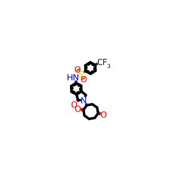 O=C1CCCC(=O)C(N2Cc3cc(NS(=O)(=O)c4ccc(C(F)(F)F)cc4)ccc3C2=O)CC1